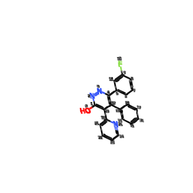 Oc1nnc(-c2cccc(F)c2)c(-c2ccccc2)c1-c1ccccn1